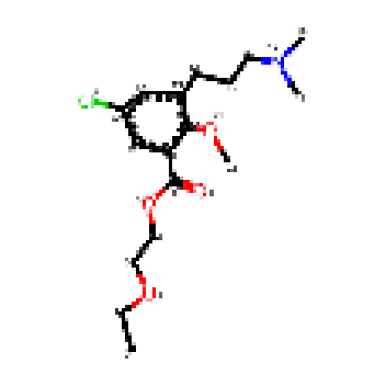 CCOCCOC(=O)c1cc(Cl)cc(CCCN(C)C)c1OC